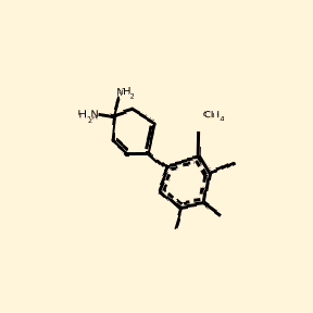 C.Cc1cc(C2=CCC(N)(N)C=C2)c(C)c(C)c1C